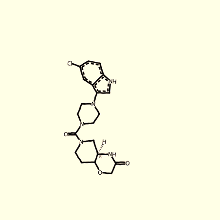 O=C1COC2CCN(C(=O)N3CCN(c4c[nH]c5ccc(Cl)cc45)CC3)C[C@H]2N1